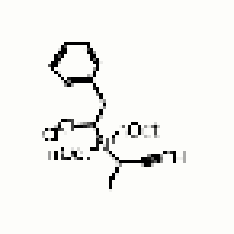 C#CC(I)[N+](CCCCCCCC)(CCCCCCCC)C(Cl)Cc1ccccc1.[Cl-]